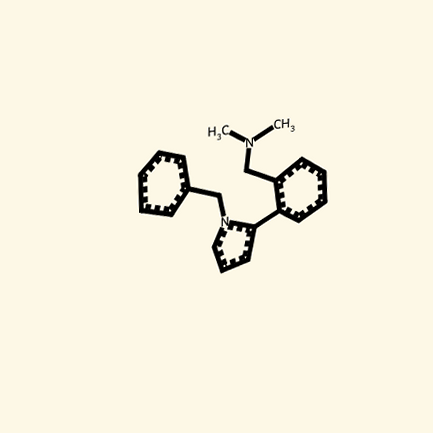 CN(C)Cc1ccccc1-c1cccn1Cc1ccccc1